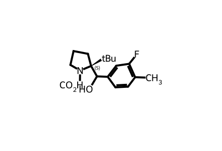 Cc1ccc(C(O)[C@@]2(C(C)(C)C)CCCN2C(=O)O)cc1F